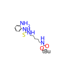 CC(C)(C)OC(=O)NCCCCCNC(=S)Nc1ccccc1N